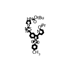 Cc1ccc(S(=O)(=O)n2cc(-c3cccc(OC(C)C)n3)c3cc(-c4nnc(N5CC[C@@H](NC(=O)OC(C)(C)C)C5)s4)ccc32)cc1